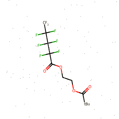 CC(C)(C)C(=O)OCCOC(=O)C(F)(F)C(F)(F)C(F)(F)C(F)(F)F